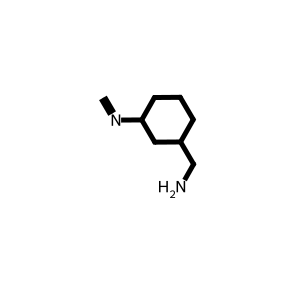 C=NC1CCCC(CN)C1